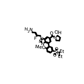 CCN(CC)S(=O)(=O)c1ccc(OC)c(-c2cc(C(=O)N3CCCC3)cc3c2nnn3C/C(F)=C/CN)c1.Cl